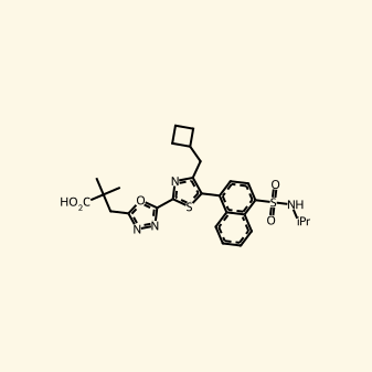 CC(C)NS(=O)(=O)c1ccc(-c2sc(-c3nnc(CC(C)(C)C(=O)O)o3)nc2CC2CCC2)c2ccccc12